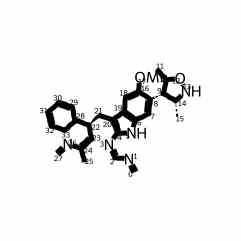 C=N/C=N\c1[nH]c2cc([C@@H]3C(C)ON[C@@H]3C)c(OC)cc2c1C[C@@H](/C=C(/C)N=C)C1C=CC=CC1